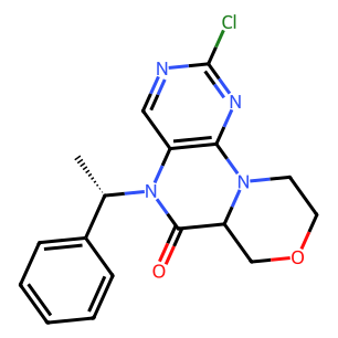 C[C@@H](c1ccccc1)N1C(=O)C2COCCN2c2nc(Cl)ncc21